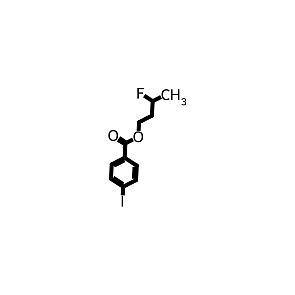 CC(F)CCOC(=O)c1ccc(I)cc1